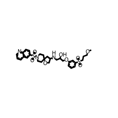 COCCCS(=O)(=O)c1cccc(OCC(O)CNC2COC3(CCN(S(=O)(=O)c4ccc5ncccc5c4)CC3)C2)c1